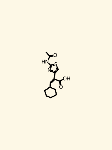 CC(=O)Nc1nc(C(=CC2CCCCC2)C(=O)O)cs1